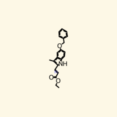 CCOC(=O)/C=C/c1[nH]c2ccc(OCc3ccccc3)cc2c1C